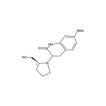 CNc1ccc2c(c1)NC(=O)C(N1CCC[C@H]1CO)C2